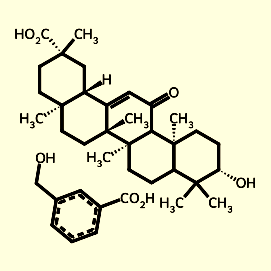 CC1(C)C2CC[C@]3(C)C(C(=O)C=C4[C@H]5C[C@@](C)(C(=O)O)CC[C@]5(C)CC[C@]43C)[C@@]2(C)CC[C@@H]1O.O=C(O)c1cccc(CO)c1